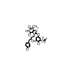 Cn1c(=O)[nH]c(=O)c2c1nc(Oc1ccc(Cl)c(OC(F)(F)F)c1)n2CCC(O)Cc1ccc(Cl)cc1